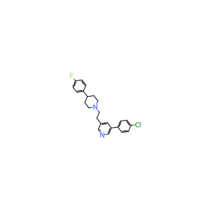 Fc1ccc(C2CCN(CCc3cncc(-c4ccc(Cl)cc4)c3)CC2)cc1